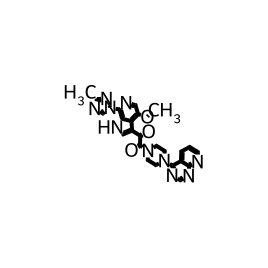 COc1cnc(-n2cnc(C)n2)c2[nH]cc(C(=O)C(=O)N3CCN(c4ncnc5ncccc45)CC3)c12